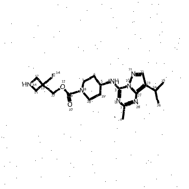 Cc1nc(NC2CCN(C(=O)OCC3(F)CNC3)CC2)n2ncc(C(C)C)c2n1